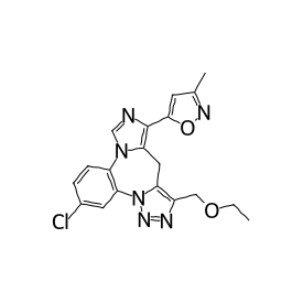 CCOCc1nnn2c1Cc1c(-c3cc(C)no3)ncn1-c1ccc(Cl)cc1-2